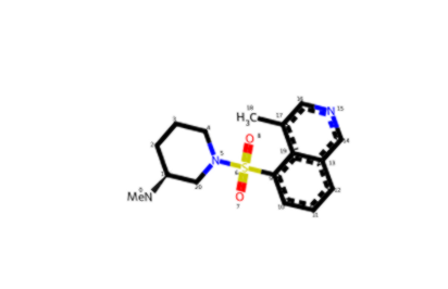 CN[C@H]1CCCN(S(=O)(=O)c2cccc3cncc(C)c23)C1